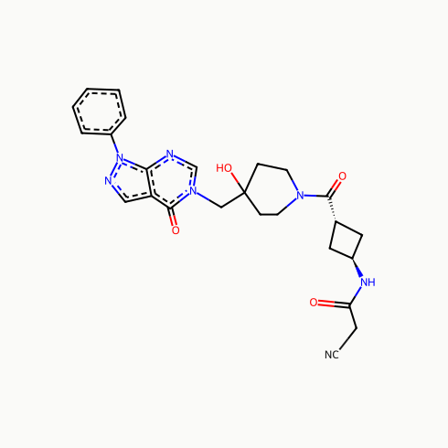 N#CCC(=O)N[C@H]1C[C@H](C(=O)N2CCC(O)(Cn3cnc4c(cnn4-c4ccccc4)c3=O)CC2)C1